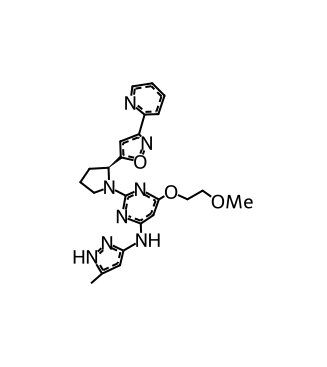 COCCOc1cc(Nc2cc(C)[nH]n2)nc(N2CCC[C@H]2c2cc(-c3ccccn3)no2)n1